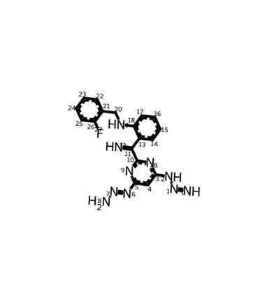 N=NNc1cc(N=NN)nc(C(=N)c2ccccc2NCc2ccccc2F)n1